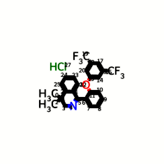 CC1(C)CN=C(c2ccccc2Oc2cc(C(F)(F)F)cc(C(F)(F)F)c2)c2ccccc21.Cl